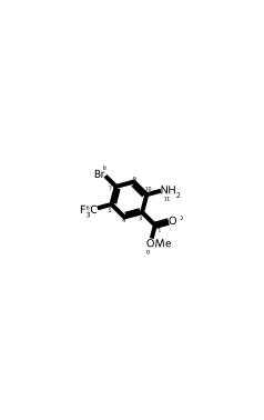 COC(=O)c1cc(C(F)(F)F)c(Br)cc1N